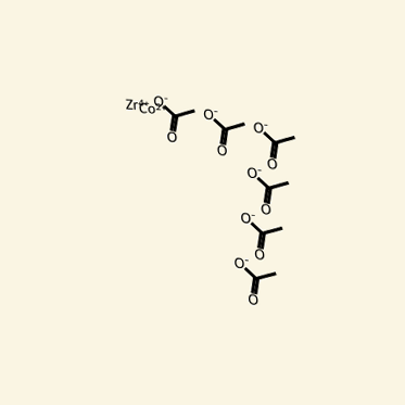 CC(=O)[O-].CC(=O)[O-].CC(=O)[O-].CC(=O)[O-].CC(=O)[O-].CC(=O)[O-].[Co+2].[Zr+4]